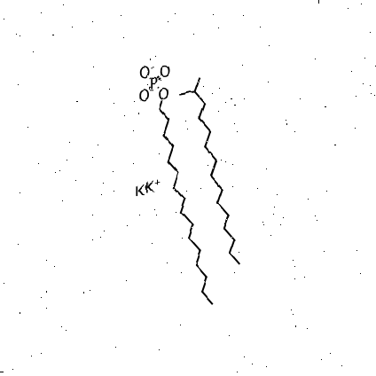 CCCCCCCCCCCCCC(C)C.CCCCCCCCCCCCCCCCOP(=O)([O-])[O-].[K+].[K+]